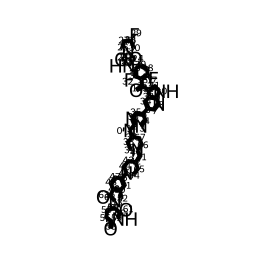 CN(c1ncc(-c2cnc3[nH]cc(C(=O)c4c(F)ccc(NS(=O)(=O)N5CC[C@@H](F)C5)c4F)c3c2)cn1)C1CCN(CC2CCN(c3ccc4c(c3)CN([C@H]3CCC(=O)NC3=O)C4=O)CC2)CC1